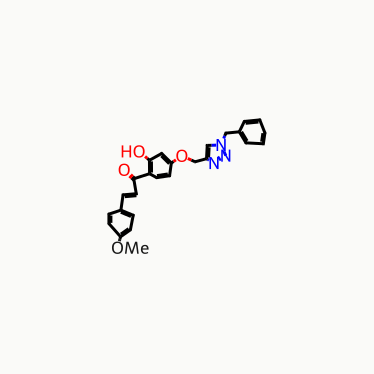 COc1ccc(/C=C/C(=O)c2ccc(OCc3cn(Cc4ccccc4)nn3)cc2O)cc1